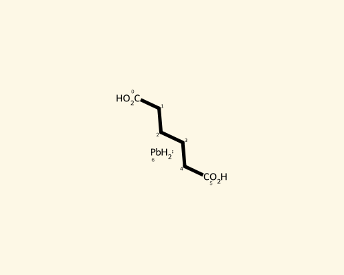 O=C(O)CCCCC(=O)O.[PbH2]